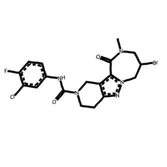 CN1CC(Br)Cn2nc3c(c2C1=O)CN(C(=O)Nc1ccc(F)c(Cl)c1)CC3